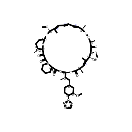 CO[C@H]1C[C@@H]2CC[C@@H](C)[C@@](O)(O2)C(=O)C(=O)N2CCCC[C@H]2C(=O)O[C@H]([C@H](C)C[C@@H]2CC[C@H](n3ncnn3)[C@H](OC)C2)CC(=O)[C@H](C)/C=C(\C)[C@@H](O)[C@@H](OC)C(=O)[C@H](C)CC[C@H](C)/C=C/C=C/C=C/1C